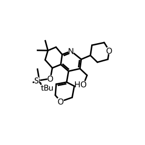 CC1(C)Cc2nc(C3CCOCC3)c(CO)c(C3=CCOCC3)c2C(O[Si](C)(C)C(C)(C)C)C1